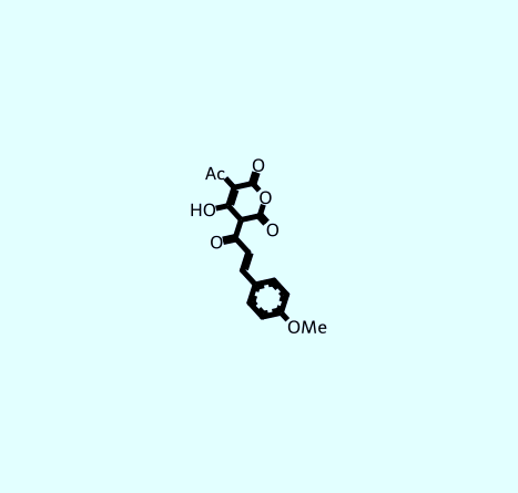 COc1ccc(C=CC(=O)C2C(=O)OC(=O)C(C(C)=O)=C2O)cc1